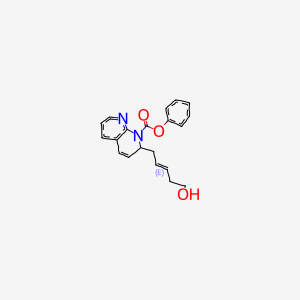 O=C(Oc1ccccc1)N1c2ncccc2C=CC1C/C=C/CCO